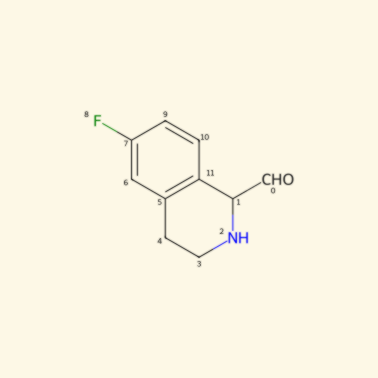 O=CC1NCCc2cc(F)ccc21